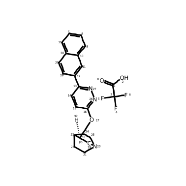 O=C(O)C(F)(F)F.c1ccc2cc(-c3ccc(O[C@H]4CN5CCC4CC5)nn3)ccc2c1